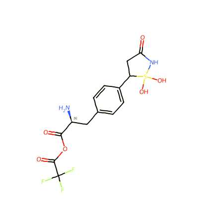 N[C@@H](Cc1ccc(C2CC(=O)NS2(O)O)cc1)C(=O)OC(=O)C(F)(F)F